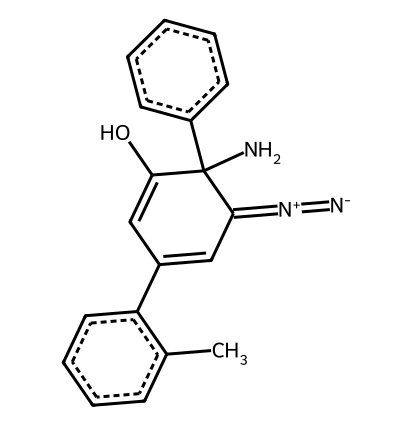 Cc1ccccc1C1=CC(=[N+]=[N-])C(N)(c2ccccc2)C(O)=C1